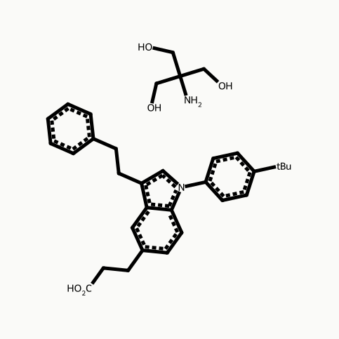 CC(C)(C)c1ccc(-n2cc(CCc3ccccc3)c3cc(CCC(=O)O)ccc32)cc1.NC(CO)(CO)CO